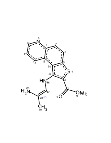 COC(=O)c1sc2ccc3ncccc3c2c1N/C=C(/C)N